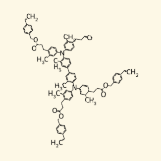 C=Cc1ccc(COC(=O)CCc2ccc(N(C3=CC(C)C(CCC(=O)OCc4ccc(C=C)cc4)C=C3)c3ccc(-c4ccc(N(c5ccc(CCC=O)c(C)c5)c5ccc(CCC(=O)OCc6ccc(C=C)cc6)c(C)c5)c(C)c4)cc3C)cc2C)cc1